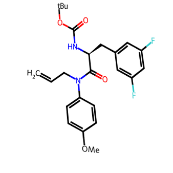 C=CCN(C(=O)[C@H](Cc1cc(F)cc(F)c1)NC(=O)OC(C)(C)C)c1ccc(OC)cc1